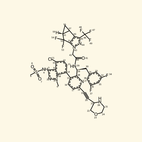 Cn1nc(NS(C)(=O)=O)c2c(Cl)ccc(-c3ccc(C#CC4COCCN4)nc3[C@H](Cc3cc(F)cc(F)c3)NC(=O)Cn3nc(C(F)(F)F)c4c3C(F)(F)[C@@H]3CC43)c21